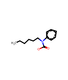 CCCCCCN(C([O])=O)c1ccccc1